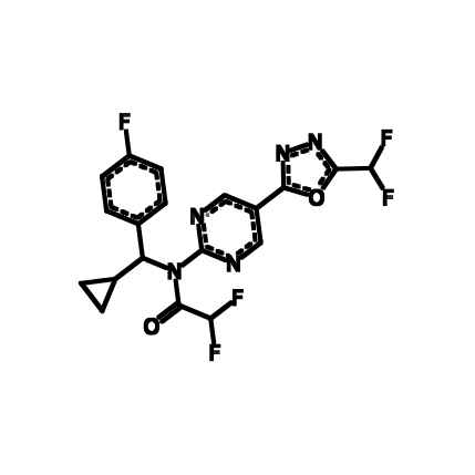 O=C(C(F)F)N(c1ncc(-c2nnc(C(F)F)o2)cn1)C(c1ccc(F)cc1)C1CC1